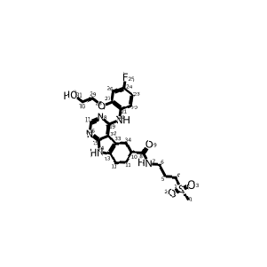 CS(=O)(=O)CCCNC(=O)C1CCc2[nH]c3ncnc(Nc4ccc(F)cc4OCCO)c3c2C1